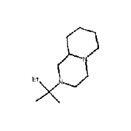 CCC(C)(C)N1CCN2CCCCC2C1